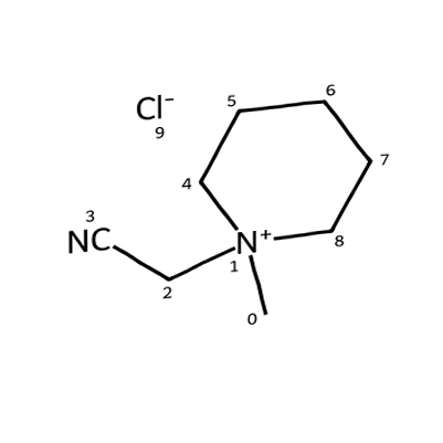 C[N+]1(CC#N)CCCCC1.[Cl-]